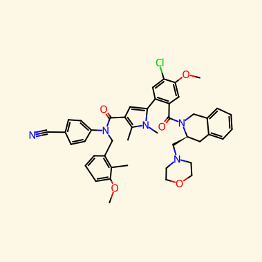 COc1cc(C(=O)N2Cc3ccccc3C[C@H]2CN2CCOCC2)c(-c2cc(C(=O)N(Cc3cccc(OC)c3C)c3ccc(C#N)cc3)c(C)n2C)cc1Cl